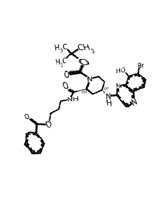 CC(C)(C)OC(=O)N1CC[C@H](Nc2cnc3ccc(Br)c(O)c3n2)C[C@H]1C(=O)NCCCOC(=O)c1ccccc1